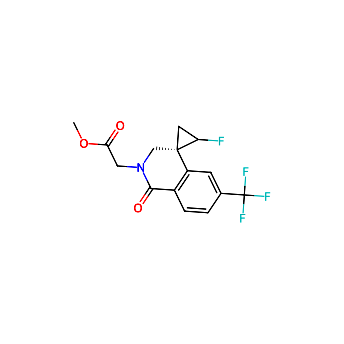 COC(=O)CN1C[C@@]2(CC2F)c2cc(C(F)(F)F)ccc2C1=O